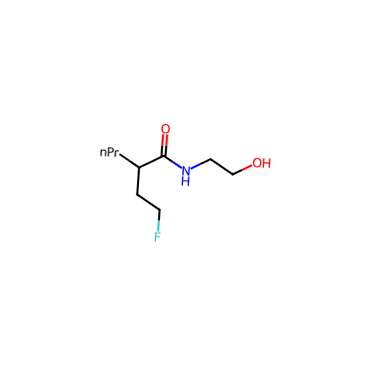 CCCC(CCF)C(=O)NCCO